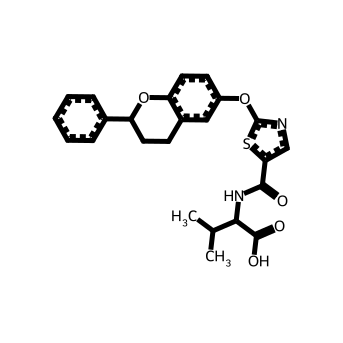 CC(C)C(NC(=O)c1cnc(Oc2ccc3c(c2)CCC(c2ccccc2)O3)s1)C(=O)O